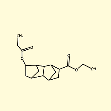 CCC(=O)OC1CC2CC1C1C3CC(CC3C(=O)OCO)C21